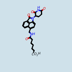 O=C(O)CCCCCC(=O)NCc1ccc2c3c(cccc13)C(=O)N2C1CCC(=O)NC1=O